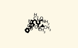 CC(c1cc(C(=O)N(C)[C@H]2C[C@@H]2C)cc(C(N)=O)n1)c1cncc2c1ccn2S(=O)(=O)c1ccccc1